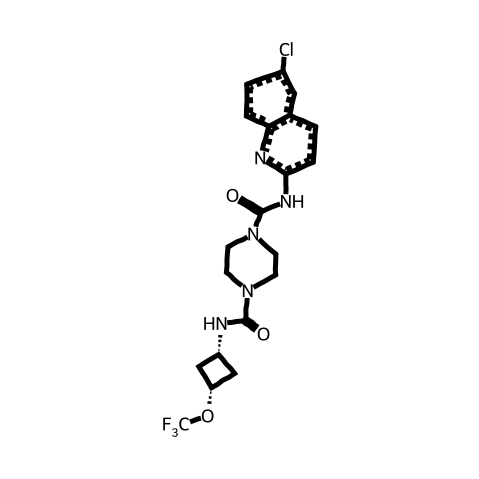 O=C(Nc1ccc2cc(Cl)ccc2n1)N1CCN(C(=O)N[C@H]2C[C@@H](OC(F)(F)F)C2)CC1